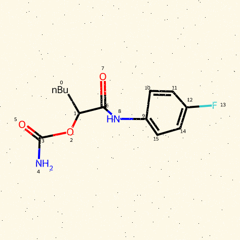 CCCCC(OC(N)=O)C(=O)Nc1ccc(F)cc1